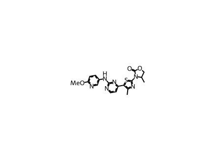 COc1ccc(Nc2nccc(-c3sc(N4C(=O)OCC4C)nc3C)n2)cn1